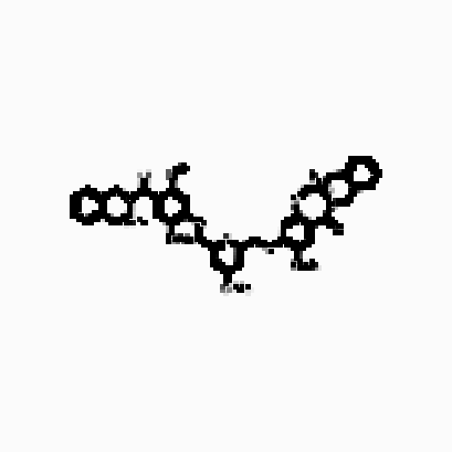 C=Nc1cc(OCc2cc(OC)cc(COc3cc4c(cc3OC)C(=O)N3Cc5ccccc5C[C@H]3C=N4)n2)c(OC)cc1C(=O)N1Cc2ccccc2C[C@H]1C